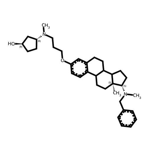 CN(CCCOc1ccc2c(c1)CCC1C2CC[C@@]2(C)C1CC[C@@H]2N(C)Cc1ccccc1)[C@@H]1CC[C@@H](O)C1